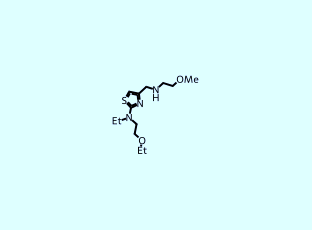 CCOCCN(CC)c1nc(CNCCOC)cs1